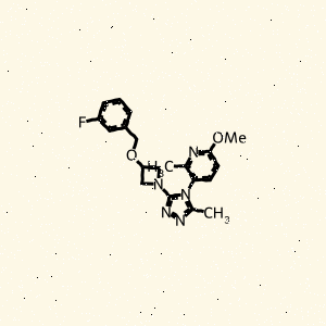 COc1ccc(-n2c(C)nnc2N2CC(OCc3cccc(F)c3)C2)c(C)n1